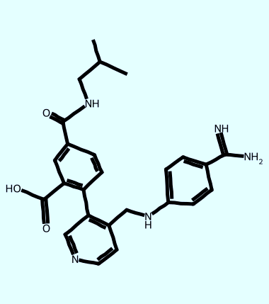 CC(C)CNC(=O)c1ccc(-c2cnccc2CNc2ccc(C(=N)N)cc2)c(C(=O)O)c1